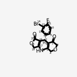 O=C1COCC2=C1[C@@H](c1ccc(F)c(Br)c1)C1=C(COC1=O)N2